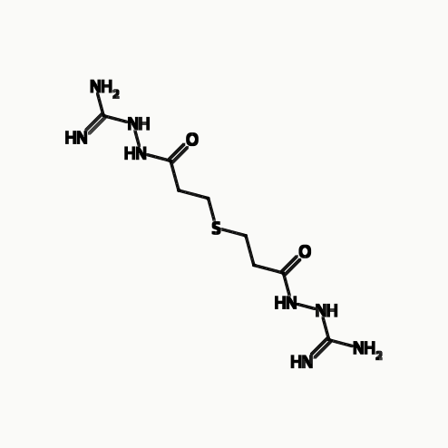 N=C(N)NNC(=O)CCSCCC(=O)NNC(=N)N